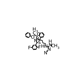 CN/C(=N/C#N)NCCCC1(c2ccccc2)SC(c2cc(F)ccc2F)=NN1C(=O)[C@H](C)Oc1ccccc1